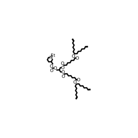 C=CCCCCCC(CCCCCC=C)OC(=O)CCCCCC(=O)OCC(COC(=O)CCCCCC(=O)OC(CCCCCC=C)CCCCCC=C)COC(=O)OCC1CCCN(CC)C1